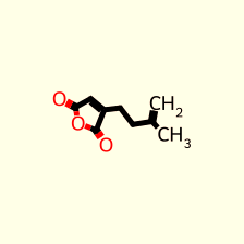 C=C(C)CCC1=CC(=O)OC1=O